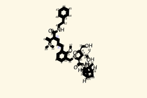 C=C(/C(=C\C=C\c1cccc(CN2O[C@@H](CO)[C@H]([C@H](C)O)[C@H]2C(=O)N[C@H]2C[C@H]3C[C@@H]([C@@H]2C)C3(C)C)c1OC)C(=O)NCCc1ccccc1)N(C)C